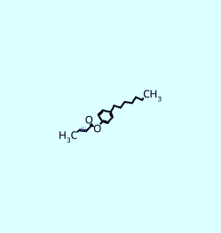 C/C=C/C(=O)Oc1ccc(CCCCCCC)cc1